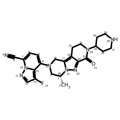 C[C@@H]1CN(c2ccc(C#N)n3ncc(F)c23)Cc2c3c(nn21)C(=O)N(C1CCNCC1)CC3